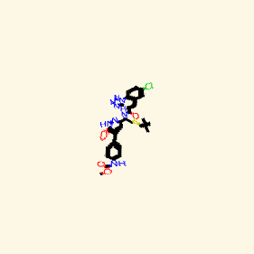 COC(=O)Nc1ccc(-c2cc(C(CSCC(C)(C)C)NC(=O)C=Cc3cc(Cl)ccc3-n3cnnn3)n[nH]c2=O)cc1